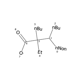 CCCCCCCCCC(CCCC)C(CC)(CCCC)C([O])=O